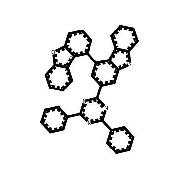 c1ccc(-c2nc(-c3ccccc3)nc(-c3cc(-c4cccc5oc6ccccc6c45)c4c(c3)sc3ccccc34)n2)cc1